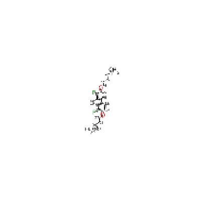 CCCCCCOc1ccc2c(c1F)CCc1c-2ccc(OCCCCC)c1F